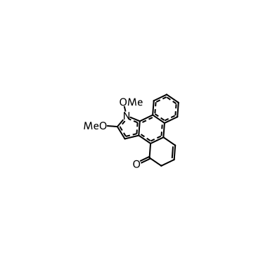 COc1cc2c3c(c4ccccc4c2n1OC)C=CCC3=O